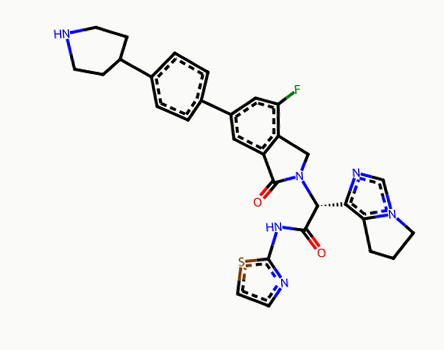 O=C(Nc1nccs1)[C@@H](c1ncn2c1CCC2)N1Cc2c(F)cc(-c3ccc(C4CCNCC4)cc3)cc2C1=O